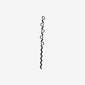 CCCCCCCCCCCCOCCOCCOCCOCCOC